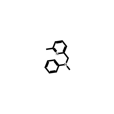 Cc1cccc(CN(C)c2cc[c]cc2)n1